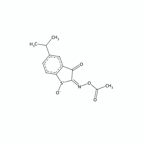 CC(=O)O/N=C1\C(=O)c2cc(C(C)C)ccc2[S+]1[O-]